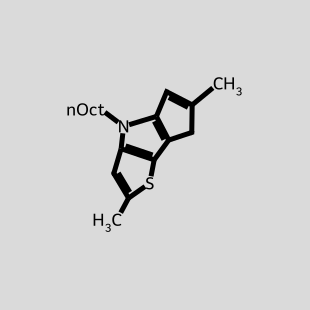 CCCCCCCCn1c2c(c3sc(C)cc31)CC(C)=C2